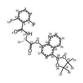 C[C@H](NC(=O)c1c(F)cccc1F)C(=O)Oc1ccc(B2OC(C)(C)C(C)(C)O2)c2cccnc12